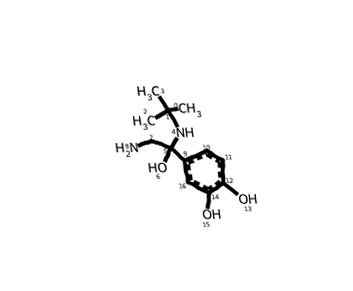 CC(C)(C)NC(O)(CN)c1ccc(O)c(O)c1